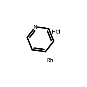 Cl.[Rh].c1ccncc1